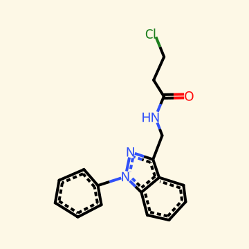 O=C(CCCl)NCc1nn(-c2ccccc2)c2ccccc12